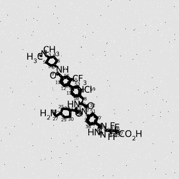 CN(C)C1CCC(NC(=O)c2ccc(-c3ccc(C[C@H](NC(=O)C4CCC(CN)CC4)C(=O)Nc4ccc(-c5nc(C(F)(F)C(F)(F)C(=O)O)n[nH]5)cc4)cc3)c(C(F)(F)F)c2)CC1.Cl